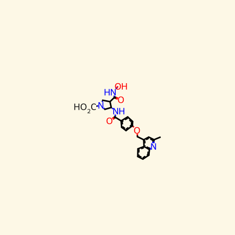 Cc1cc(COc2ccc(C(=O)N[C@H]3CN(C(=O)O)CC3C(=O)NO)cc2)c2ccccc2n1